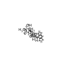 CN(CCO)C(=O)c1cc(S(=O)(=O)NC(=O)Nc2c3c(cc4c2CCC4)CCC3)nn1C